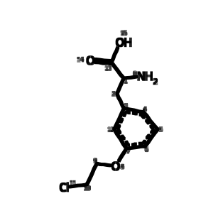 NC(Cc1cccc(OCCCl)c1)C(=O)O